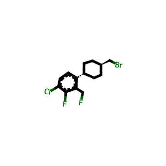 FCc1c(F)c(Cl)ccc1[C@H]1CC[C@H](CBr)CC1